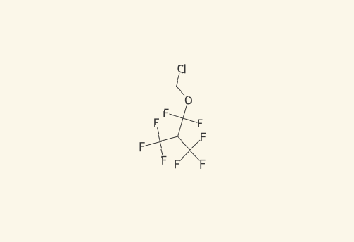 FC(F)(F)C(C(F)(F)F)C(F)(F)OCCl